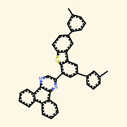 Cc1cccc(-c2ccc3sc4c(-c5cnc6c7ccccc7c7ccccc7c6n5)cc(-c5cccc(C)c5)cc4c3c2)c1